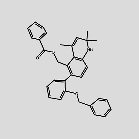 CC1=CC(C)(C)Nc2ccc(-c3ccccc3OCc3ccccc3)c(COC(=O)c3ccccc3)c21